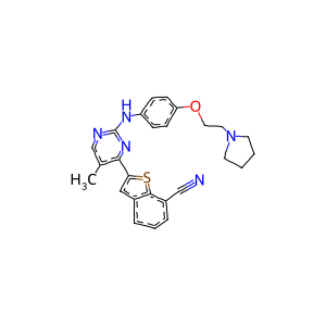 Cc1cnc(Nc2ccc(OCCN3CCCC3)cc2)nc1-c1cc2cccc(C#N)c2s1